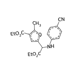 CCOC(=O)c1cc(C(Nc2ccc(C#N)cc2)C(=O)OCC)oc1C